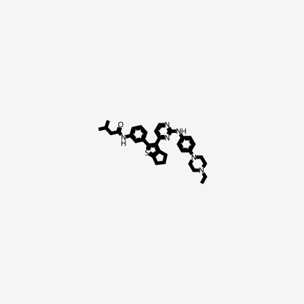 CCN1CCN(c2ccc(Nc3nccc(-c4c(-c5cccc(NC(=O)CC(C)C)c5)sc5c4CCC5)n3)cc2)CC1